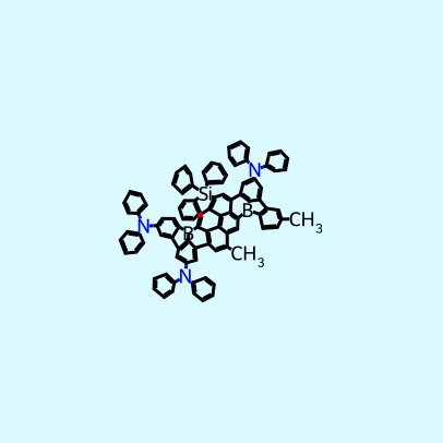 Cc1ccc2c(c1)-c1cc(N(c3ccccc3)c3ccccc3)cc3c1B2c1cc2c(C)cc4c5c(cc6c([Si](c7ccccc7)(c7ccccc7)c7ccccc7)cc-3c1c6c25)B1c2ccc(N(c3ccccc3)c3ccccc3)cc2-c2cc(N(c3ccccc3)c3ccccc3)cc-4c21